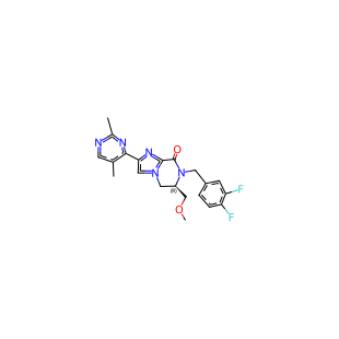 COC[C@H]1Cn2cc(-c3nc(C)ncc3C)nc2C(=O)N1Cc1ccc(F)c(F)c1